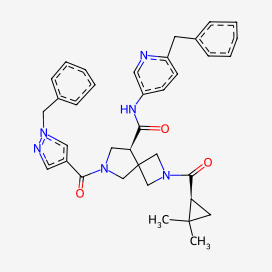 CC1(C)C[C@@H]1C(=O)N1CC2(CN(C(=O)c3cnn(Cc4ccccc4)c3)C[C@H]2C(=O)Nc2ccc(Cc3ccccc3)nc2)C1